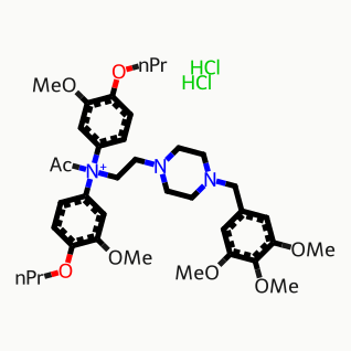 CCCOc1ccc([N+](CCN2CCN(Cc3cc(OC)c(OC)c(OC)c3)CC2)(C(C)=O)c2ccc(OCCC)c(OC)c2)cc1OC.Cl.Cl